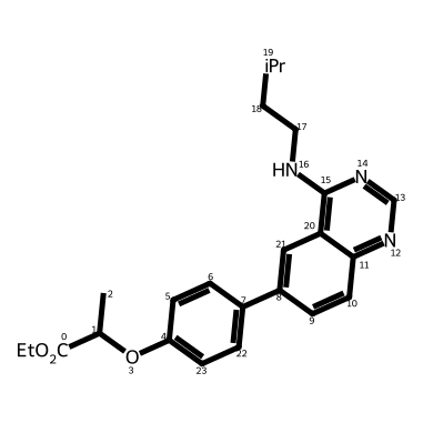 CCOC(=O)C(C)Oc1ccc(-c2ccc3ncnc(NCCC(C)C)c3c2)cc1